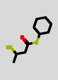 CC(S)CC(=O)SC1CCCCC1